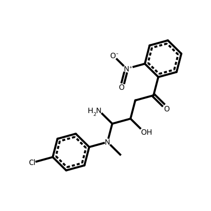 CN(c1ccc(Cl)cc1)C(N)C(O)CC(=O)c1ccccc1[N+](=O)[O-]